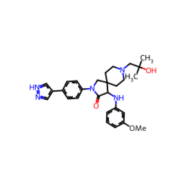 COc1cccc(NC2C(=O)N(c3ccc(-c4cn[nH]c4)cc3)CC23CCN(CC(C)(C)O)CC3)c1